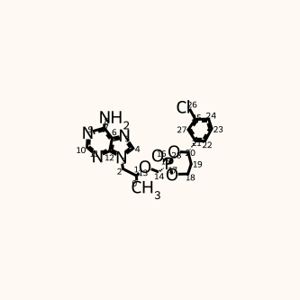 CC(Cn1cnc2c(N)ncnc21)OC[P@@]1(=O)OCC[C@@H](c2cccc(Cl)c2)O1